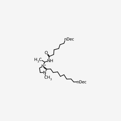 CCCCCCCCCCCCCCCCCCC1=[N+](C(C)NC(=O)CCCCCCCCCCCCCCC)CCN1C